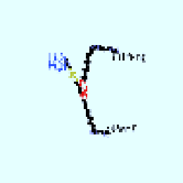 CCCCC/C=C\C/C=C\CCCCCCCCOCC(CSSC/C(N)=C/N)OCCCCCCCC/C=C\C/C=C\CCCCC